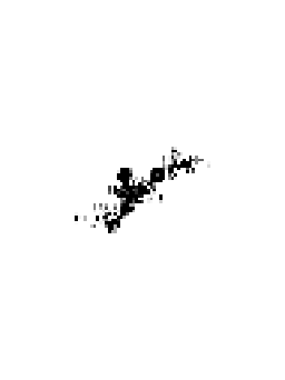 NC(=O)CC[C@H](N)C(=O)Nc1ccc(-c2ncc(C(=O)N(C(=O)C(N)c3ccccc3)C3C(=O)N4C(C(=O)O)=C(CSc5nnnn5CC(=O)O)CS[C@@H]34)c(O)n2)cc1